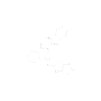 CC1=CC2C=C(C(=O)N[C@H]3CCCC[C@H]3NC(=O)c3nc4c(s3)CNC4)NC2C=C1